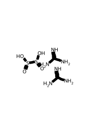 N=C(N)N.N=C(N)N.O=S(O)S(=O)O